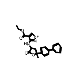 CCOC(=O)c1c[nH]nc1NC1CC(C)(c2ccc(-c3ccccc3)cc2)OC1=O